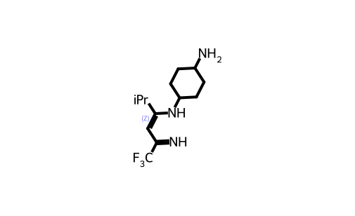 CC(C)/C(=C/C(=N)C(F)(F)F)NC1CCC(N)CC1